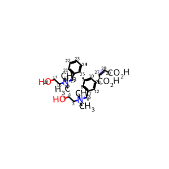 C[N+](C)(CCO)Cc1ccccc1.C[N+](C)(CCO)Cc1ccccc1.O=C(O)/C=C\C(=O)O